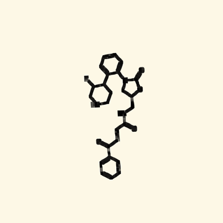 O=C(C=CC(=O)c1ccccc1)NC[C@H]1CN(c2ccccc2C2CCNCC2F)C(=O)O1